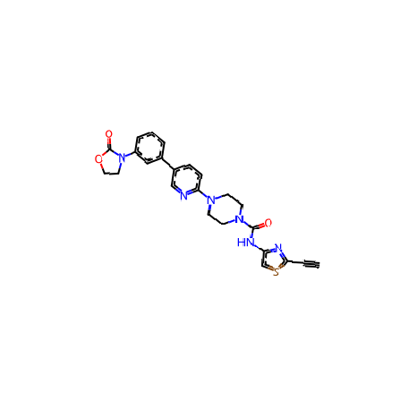 C#Cc1nc(NC(=O)N2CCN(c3ccc(-c4cccc(N5CCOC5=O)c4)cn3)CC2)cs1